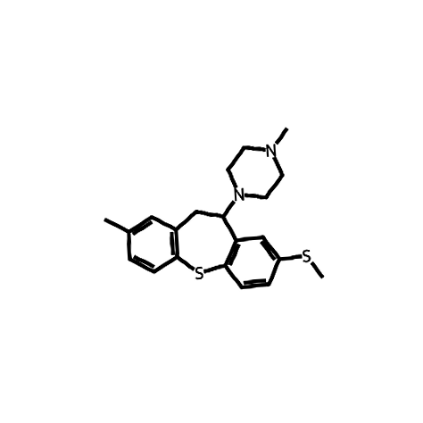 CSc1ccc2c(c1)C(N1CCN(C)CC1)Cc1cc(C)ccc1S2